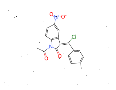 CC(=O)N1C(=O)/C(=C(/Cl)c2ccc(C)cc2)c2cc([N+](=O)[O-])ccc21